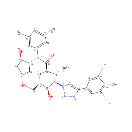 CO[C@@H]1[C@@H](n2cc(-c3cc(F)c(Cl)c(Cl)c3)nn2)[C@@H](O)[C@@H](CO)O[C@H]1C(=O)N(c1cc(Cl)cc(C#N)c1)[C@@H]1CCC[C@H]1O